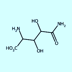 NC(=O)C(O)C(O)C(N)C(=O)O